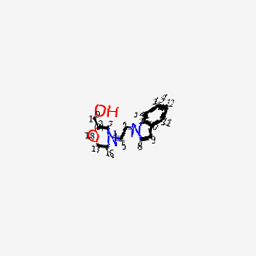 OC[C@H]1CN(CCN2CCc3ccccc32)CCO1